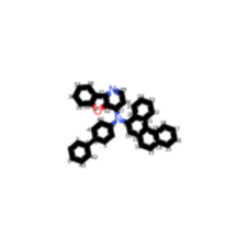 c1ccc(-c2ccc(N(c3cc4ccc5ccccc5c4c4ccccc34)c3ccnc4c3oc3ccccc34)cc2)cc1